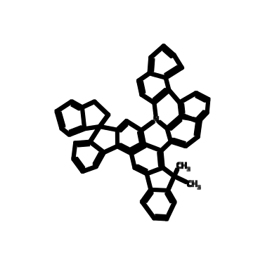 CC1(C)c2ccccc2-c2cccc(-c3ccccc3N(c3ccc4c(c3)C3(CCc5ccccc53)c3ccccc3-4)c3ccc4ccccc4c3-c3ccccc3)c21